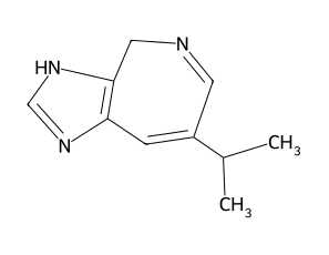 CC(C)C1=Cc2nc[nH]c2CN=C1